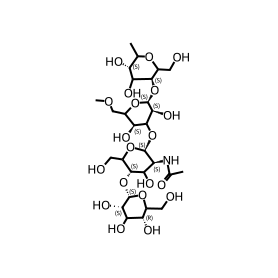 COCC1O[C@@H](O[C@@H]2C(CO)OC(C)[C@@H](O)C2O)[C@@H](O)C(O[C@@H]2OC(CO)[C@@H](O[C@@H]3OC(CO)[C@H](O)C(O)[C@@H]3O)C(O)[C@@H]2NC(C)=O)[C@H]1O